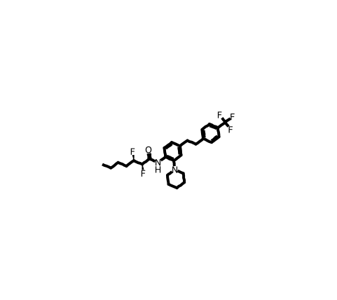 CCCC[C@@H](F)[C@H](F)C(=O)Nc1ccc(CCc2ccc(C(F)(F)F)cc2)cc1N1CCCCC1